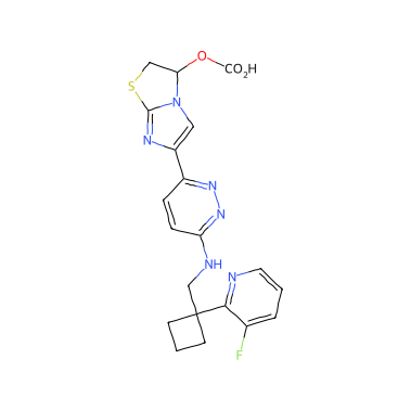 O=C(O)OC1CSc2nc(-c3ccc(NCC4(c5ncccc5F)CCC4)nn3)cn21